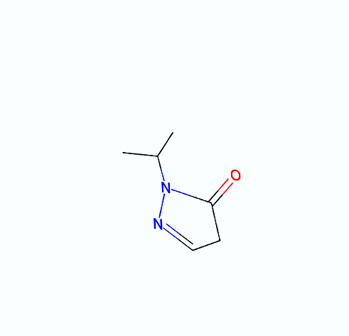 CC(C)N1N=CCC1=O